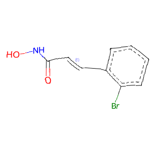 O=C(/C=C/c1ccccc1Br)NO